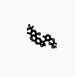 Cc1ccc(OC(C)C(=O)O)cc1-c1noc2cc(F)c(-n3c(=O)cc(C(F)(F)F)n(C)c3=O)cc12